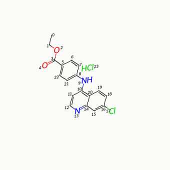 CCOC(=O)c1ccc(Nc2ccnc3cc(Cl)ccc23)cc1.Cl